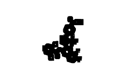 O=C(CN(Cc1ccc(F)c(F)c1)C(=O)c1cnn(C2CCC(C(=O)O)CC2)c1C(F)(F)F)c1c(Cl)cncc1Cl